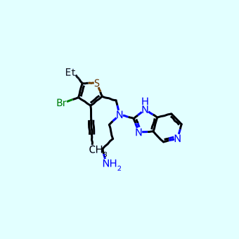 CC#Cc1c(CN(CCCN)c2nc3cnccc3[nH]2)sc(CC)c1Br